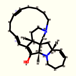 OC1=C2/C=C/CC/C=C\CCCCN3CC[C@@H]2[C@]2(C[C@@H]4C=CCCCN4[C@@H]12)C3